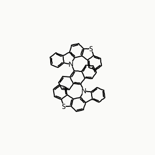 c1ccc2c(c1)sc1ccc3c4ccccc4n(-c4c5ccccc5c(-n5c6ccccc6c6ccc7sc8ccccc8c7c65)c5ccccc45)c3c12